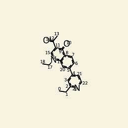 CCc1cc(-c2ccc3c(=O)c(C(C)=O)cn(CC)c3c2)ccn1